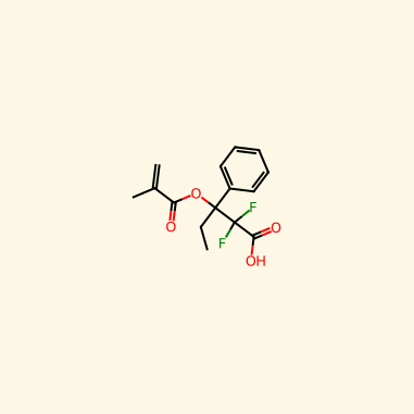 C=C(C)C(=O)OC(CC)(c1ccccc1)C(F)(F)C(=O)O